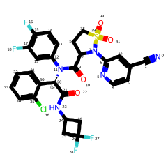 N#Cc1ccnc(N2C(C(=O)N(c3ccc(F)c(F)c3)[C@H](C(=O)NC3CC(F)(F)C3)c3ccccc3Cl)CCS2(=O)=O)c1